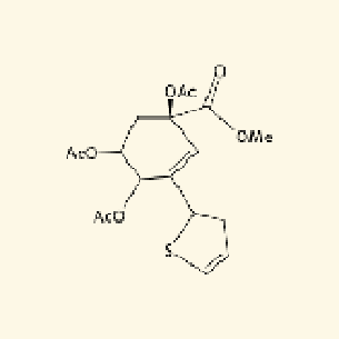 COC(=O)[C@]1(OC(C)=O)C=C(C2CC=CS2)C(OC(C)=O)C(OC(C)=O)C1